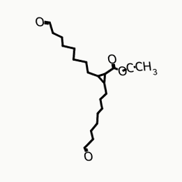 CCOC(=O)C1C(CCCCCCCC=O)C1CCCCCCCC=O